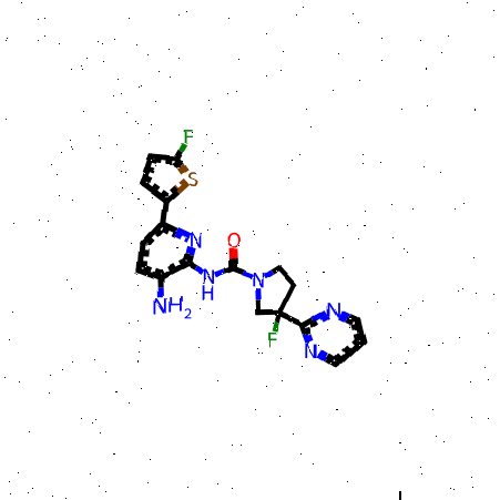 Nc1ccc(-c2ccc(F)s2)nc1NC(=O)N1CCC(F)(c2ncccn2)C1